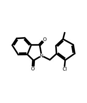 Cc1ccc(Cl)c(CN2C(=O)c3ccccc3C2=O)c1